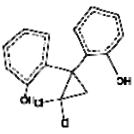 Oc1ccccc1C1(c2ccccc2O)CC1(Cl)Cl